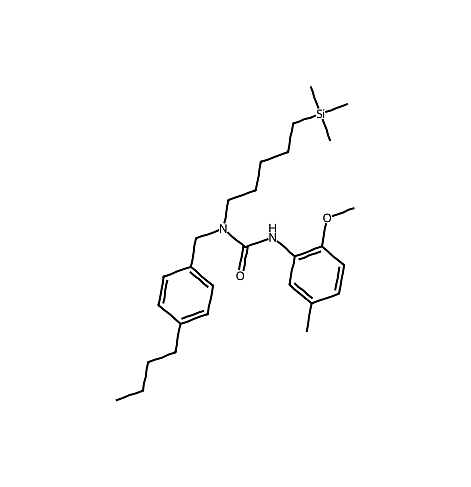 CCCCc1ccc(CN(CCCCC[Si](C)(C)C)C(=O)Nc2cc(C)ccc2OC)cc1